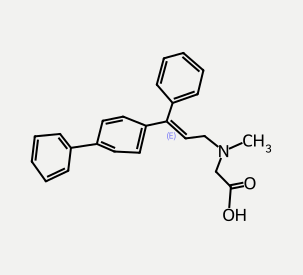 CN(C/C=C(\c1ccccc1)c1ccc(-c2ccccc2)cc1)CC(=O)O